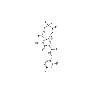 Cc1ccc(CNC(=O)c2cn3c(c(O)c2=O)C(=O)N2C[C@@H]4C[C@@H]4C[C@H]3C2)c(F)c1